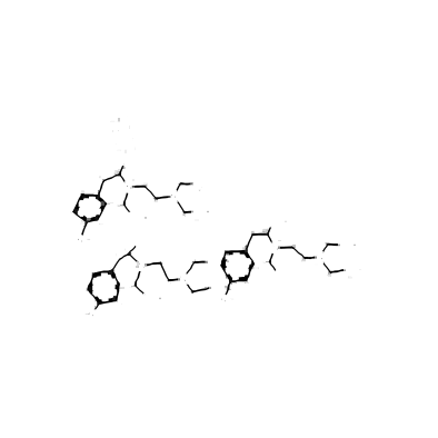 Nc1ccc(CC(C(=O)[O-])N(CCN(CC(=O)[O-])CC(=O)[O-])CC(=O)[O-])cc1.Nc1ccc(CC(C(=O)[O-])N(CCN(CC(=O)[O-])CC(=O)[O-])CC(=O)[O-])cc1.Nc1ccc(CC(C(=O)[O-])N(CCN(CC(=O)[O-])CC(=O)[O-])CC(=O)[O-])cc1.[In+3].[In+3].[In+3].[In+3]